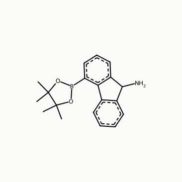 CC1(C)OB(c2cccc3c2-c2ccccc2C3N)OC1(C)C